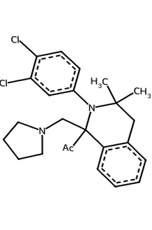 CC(=O)C1(CN2CCCC2)c2ccccc2CC(C)(C)N1c1ccc(Cl)c(Cl)c1